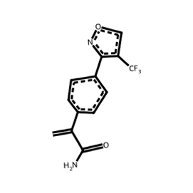 C=C(C(N)=O)c1ccc(-c2nocc2C(F)(F)F)cc1